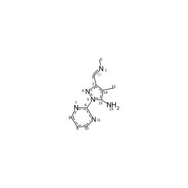 C/N=C/c1nn(-c2ncccn2)c(N)c1C